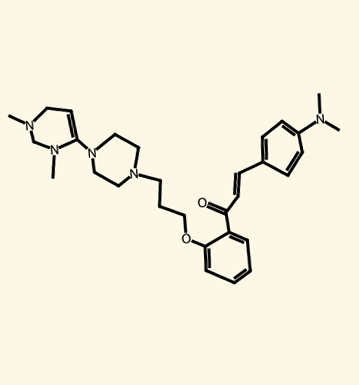 CN1CC=C(N2CCN(CCCOc3ccccc3C(=O)/C=C/c3ccc(N(C)C)cc3)CC2)N(C)C1